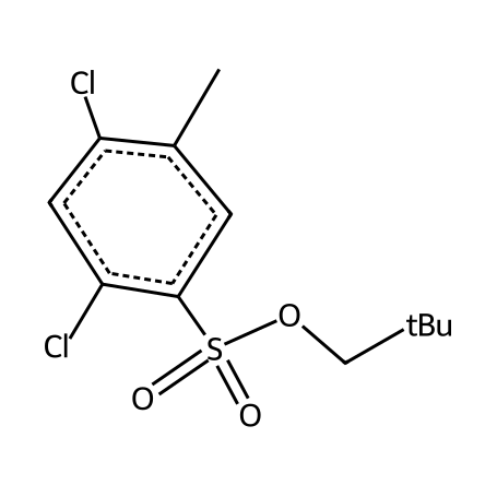 Cc1cc(S(=O)(=O)OCC(C)(C)C)c(Cl)cc1Cl